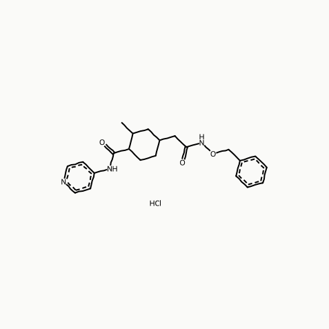 CC1CC(CC(=O)NOCc2ccccc2)CCC1C(=O)Nc1ccncc1.Cl